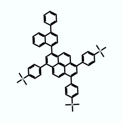 C[Si](C)(C)c1ccc(-c2cc(-c3ccc([Si](C)(C)C)cc3)c3ccc4c(-c5ccc(-c6ccccc6)c6ccccc56)cc(-c5ccc([Si](C)(C)C)cc5)c5ccc2c3c54)cc1